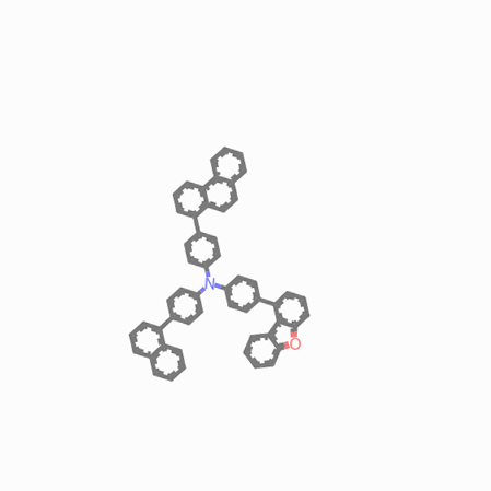 c1ccc2c(-c3ccc(N(c4ccc(-c5cccc6c5ccc5ccccc56)cc4)c4ccc(-c5cccc6oc7ccccc7c56)cc4)cc3)cccc2c1